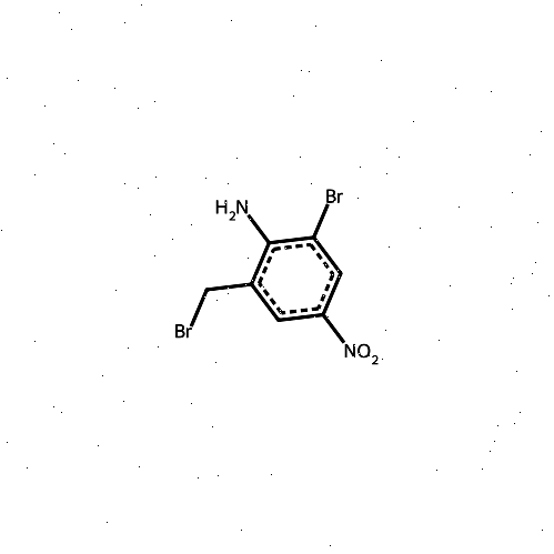 Nc1c(Br)cc([N+](=O)[O-])cc1CBr